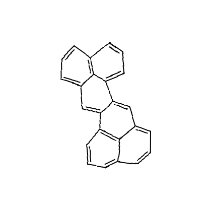 c1cc2cccc3c4cc5cccc6cccc(c4cc(c1)c23)c65